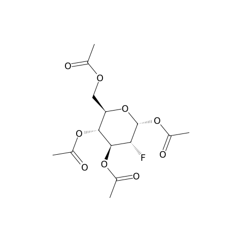 CC(=O)OC[C@H]1O[C@H](OC(C)=O)[C@H](F)[C@@H](OC(C)=O)[C@@H]1OC(C)=O